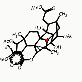 COC(=O)CC1C2(C)CC34OC5(C)OC67C(/C(=C(/OC)C(C)C)C(=O)OC6C3(O)C2OC(C)=O)C(C)(C(OC(C)=O)c2ccoc2)CCC7(O5)C14C